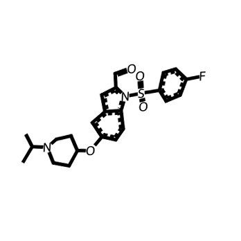 CC(C)N1CCC(Oc2ccc3c(c2)cc(C=O)n3S(=O)(=O)c2ccc(F)cc2)CC1